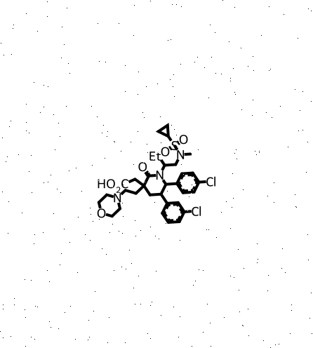 CCC(CN(C)S(=O)(=O)C1CC1)N1C(=O)C(CCN2CCOCC2)(CC(=O)O)CC(c2cccc(Cl)c2)C1c1ccc(Cl)cc1